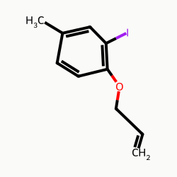 C=CCOc1ccc(C)cc1I